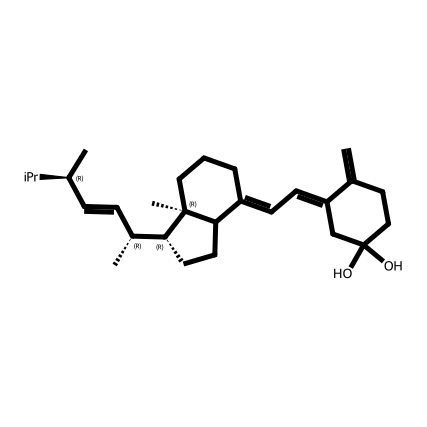 C=C1CCC(O)(O)CC1=CC=C1CCC[C@@]2(C)C1CC[C@@H]2[C@H](C)C=C[C@H](C)C(C)C